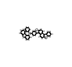 c1ccc(N(c2ccc3c(c2)oc2ccc4c(ccc5oc6ccccc6c54)c23)c2cccc3sc4ccccc4c23)cc1